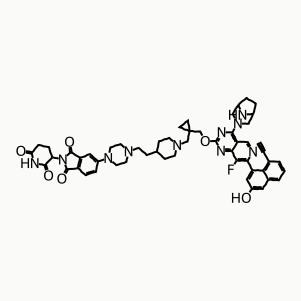 C#Cc1cccc2cc(O)cc(-c3ncc4c(N5CC6CCC(C5)N6)nc(OCC5(CN6CCC(CCN7CCN(c8ccc9c(c8)C(=O)N(C8CCC(=O)NC8=O)C9=O)CC7)CC6)CC5)nc4c3F)c12